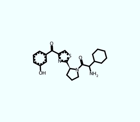 NC(C(=O)N1CCC[C@H]1c1nc(C(=O)c2cccc(O)c2)cs1)C1CCCCC1